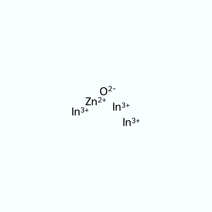 [In+3].[In+3].[In+3].[O-2].[Zn+2]